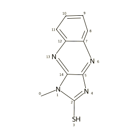 Cn1c(S)nc2nc3ccccc3nc21